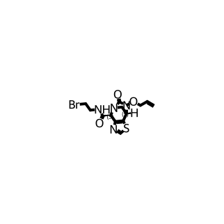 C=CCON1C(=O)N2C[C@H]1c1scnc1[C@H]2C(=O)NCCBr